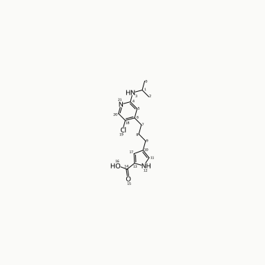 CC(C)Nc1cc(CCCc2c[nH]c(C(=O)O)c2)c(Cl)cn1